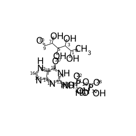 CC(O)C(O)C(O)C(O)C=O.Nc1nc2nc[nH]c2c(=O)[nH]1.O=P(O)(O)OP(=O)(O)O